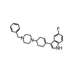 Fc1ccc2[nH]cc(C3=CCC(N4CCN(Cc5ccccc5)CC4)CC3)c2c1